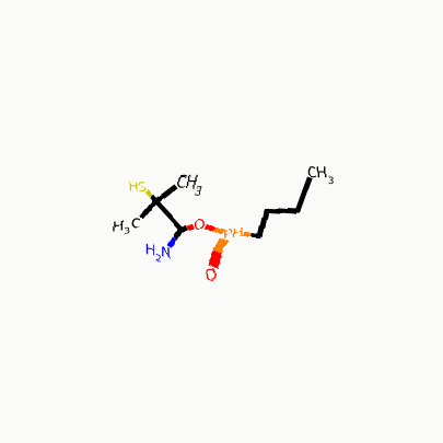 CCCC[PH](=O)OC(N)C(C)(C)S